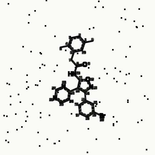 Cc1ccc(C)c(CC(=O)Nc2onc(-c3cccc(Br)c3)c2-c2ccncn2)c1